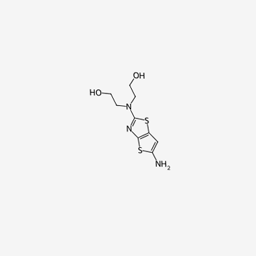 Nc1cc2sc(N(CCO)CCO)nc2s1